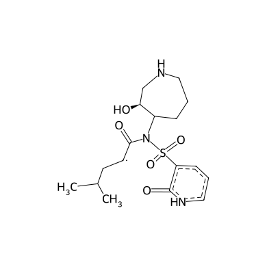 CC(C)C[CH]C(=O)N(C1CCCNC[C@@H]1O)S(=O)(=O)c1ccc[nH]c1=O